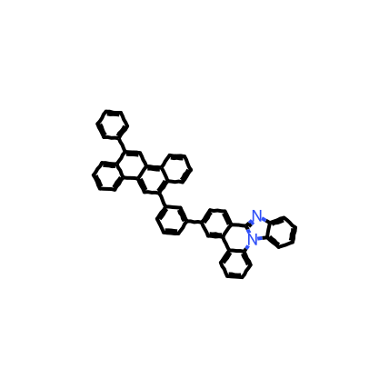 c1ccc(-c2cc3c4ccccc4c(-c4cccc(-c5ccc6c(c5)c5ccccc5n5c7ccccc7nc65)c4)cc3c3ccccc23)cc1